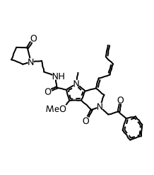 C=C/C=C\C=C1/CN(CC(=O)c2ccccc2)C(=O)c2c(OC)c(C(=O)NCCN3CCCC3=O)n(C)c21